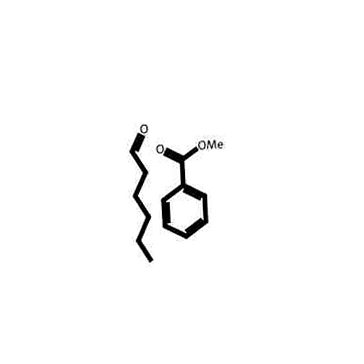 CCCCCC=O.COC(=O)c1ccccc1